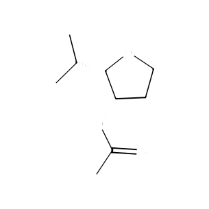 CC(=O)O[C@H]1CCO[C@H]1C(C)C